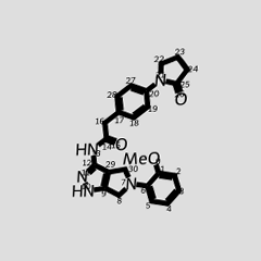 COc1ccccc1N1Cc2[nH]nc(NC(=O)Cc3ccc(N4CCCC4=O)cc3)c2C1